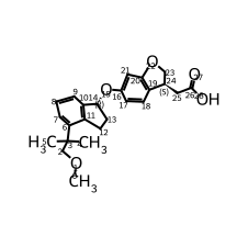 COCC(C)(C)c1cccc2c1CC[C@H]2Oc1ccc2c(c1)OC[C@H]2CC(=O)O